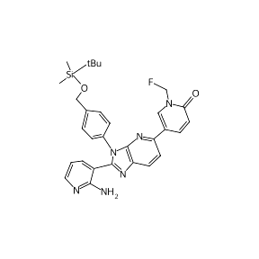 CC(C)(C)[Si](C)(C)OCc1ccc(-n2c(-c3cccnc3N)nc3ccc(-c4ccc(=O)n(CF)c4)nc32)cc1